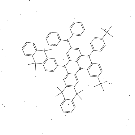 CC(C)(C)c1ccc(N2c3ccc(C(C)(C)C)cc3B3c4cc5c(cc4N(c4ccc6c(c4)C(C)(C)c4ccccc4C6(C)C)c4cc(N(c6ccccc6)c6ccccc6)cc2c43)C(C)(C)c2ccccc2C5(C)C)cc1